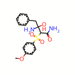 COc1ccc(S(=O)(=O)C(C(N)=O)C(N)(O)Cc2ccccc2)cc1